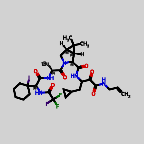 C=CCNC(=O)C(=O)C(CC1CC1)NC(=O)[C@@H]1[C@@H]2[C@H](CN1C(=O)[C@@H](NC(=O)[C@@H](NC(=O)C(F)(F)I)C1(I)CCCCC1)C(C)(C)C)C2(C)C